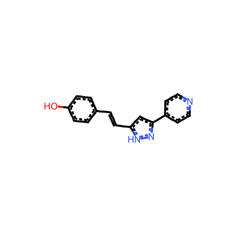 Oc1ccc(C=Cc2cc(-c3ccncc3)n[nH]2)cc1